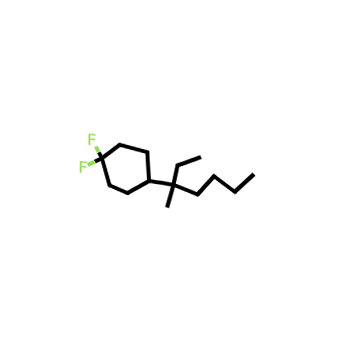 CCCCC(C)(CC)C1CCC(F)(F)CC1